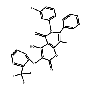 Cc1c(-c2ccccc2)n(-c2cccc(F)c2)c(=O)c2c(O)c(Sc3ccccc3C(F)(F)F)c(=O)oc12